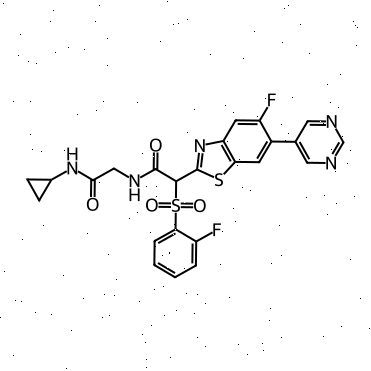 O=C(CNC(=O)C(c1nc2cc(F)c(-c3cncnc3)cc2s1)S(=O)(=O)c1ccccc1F)NC1CC1